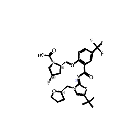 CC(C)(C)c1cn(C[C@H]2CCCO2)/c(=N/C(=O)c2cc(C(F)(F)F)ccc2OC[C@@H]2C[C@@H](F)CN2C(=O)O)s1